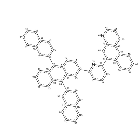 c1cc(-c2ccc3c(-c4ccc5ccccc5c4)c4ccccc4c(-c4ccc5ccccc5c4)c3c2)nc(-c2cc3ncccc3c3ccccc23)c1